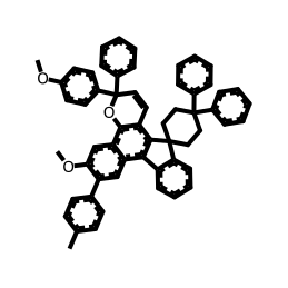 COc1ccc(C2(c3ccccc3)C=Cc3c4c(c5cc(-c6ccc(C)cc6)c(OC)cc5c3O2)-c2ccccc2C42CCC(c3ccccc3)(c3ccccc3)CC2)cc1